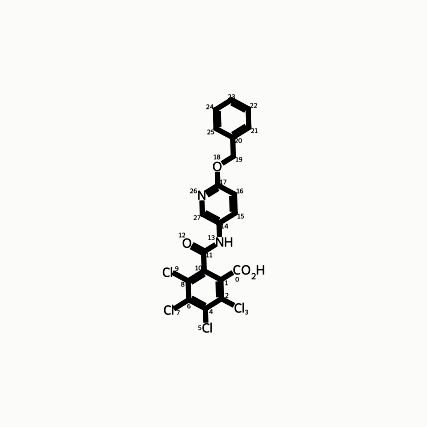 O=C(O)c1c(Cl)c(Cl)c(Cl)c(Cl)c1C(=O)Nc1ccc(OCc2ccccc2)nc1